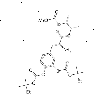 CCC(C)(C)OC(=O)Oc1ccc(C[C@H](N)C(=O)O[C@@H](C)C(C)OC(=O)OC)cc1OC(=O)OC(C)(C)CC